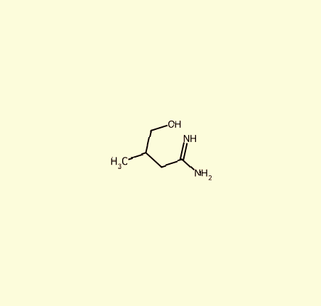 CC(CO)CC(=N)N